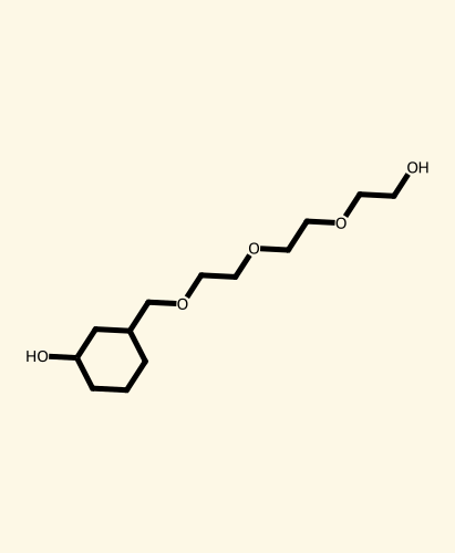 OCCOCCOCCOCC1CCCC(O)C1